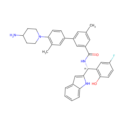 Cc1cc(C(=O)N[C@@H](c2cc3ccccc3[nH]2)c2cc(F)ccc2O)cc(-c2ccc(N3CCC(N)CC3)c(C)c2)c1